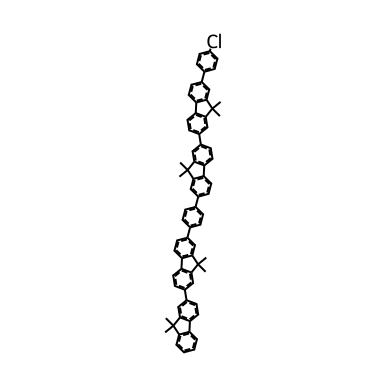 CC1(C)c2ccccc2-c2ccc(-c3ccc4c(c3)C(C)(C)c3cc(-c5ccc(-c6ccc7c(c6)C(C)(C)c6cc(-c8ccc9c(c8)C(C)(C)c8cc(-c%10ccc(Cl)cc%10)ccc8-9)ccc6-7)cc5)ccc3-4)cc21